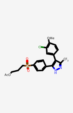 COc1ccc(-c2c(C(F)(F)F)n[nH]c2-c2ccc(S(=O)(=O)CCCOC(C)=O)cc2)cc1Cl